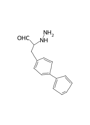 NNC(C=O)Cc1ccc(-c2ccccc2)cc1